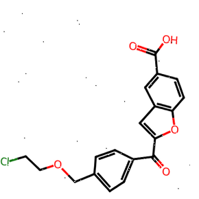 O=C(O)c1ccc2oc(C(=O)c3ccc(COCCCl)cc3)cc2c1